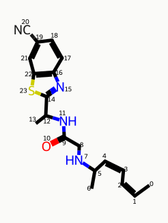 C/C=C\C=C/C(C)NCC(=O)NC(C)c1nc2ccc(C#N)cc2s1